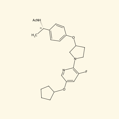 CC(=O)N[C@@H](C)c1ccc(OC2CCN(c3ncc(OC4CCCC4)cc3F)C2)cc1